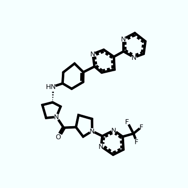 O=C(C1CCN(c2nccc(C(F)(F)F)n2)C1)N1CC[C@H](NC2CC=C(c3ccc(-c4ncccn4)cn3)CC2)C1